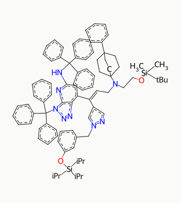 CC(C)[Si](Oc1cccc(Cn2cc(C(=CCN(CCO[Si](C)(C)C(C)(C)C)C34CCC(c5ccccc5)(CC3)CC4)c3cc(NC(c4ccccc4)(c4ccccc4)c4ccccc4)nc4c3nnn4C(c3ccccc3)(c3ccccc3)c3ccccc3)cn2)c1)(C(C)C)C(C)C